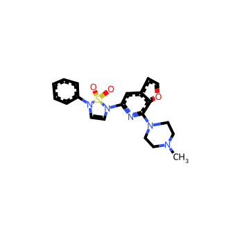 CN1CCN(c2nc(N3C=CN(c4ccccc4)S3(=O)=O)cc3ccoc23)CC1